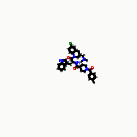 Cc1ccc(C(=O)N2CCC(C(=O)N[C@H](Cc3c[nH]c4ccccc34)C(=O)N3C[C@H](CN(C)C)Cc4cc(Cl)ccc43)CC2)cc1